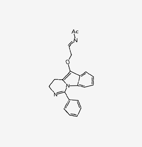 CC(=O)N=CCOc1c2n(c3ccccc13)C(c1ccccc1)=NCC2